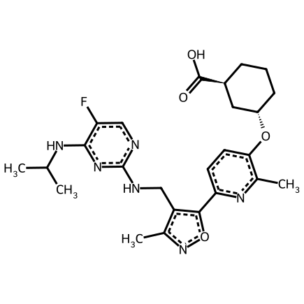 Cc1nc(-c2onc(C)c2CNc2ncc(F)c(NC(C)C)n2)ccc1O[C@H]1CCC[C@H](C(=O)O)C1